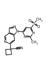 Cc1nc(-n2ncc3cnc(C4(C#N)CCC4)cc32)cc(S(C)(=O)=O)n1